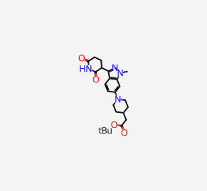 Cn1nc(C2CCC(=O)NC2=O)c2ccc(N3CCC(CC(=O)OC(C)(C)C)CC3)cc21